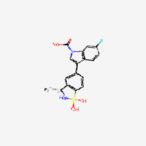 C[C@H]1NS(O)(O)c2ccc(-c3cn(C(=O)O)c4cc(F)ccc34)cc21